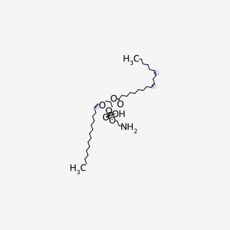 CCCCC/C=C\C/C=C\CCCCCCCC(=O)OC(CO/C=C\CCCCCCCCCCCCCC)COP(=O)(O)OCCN